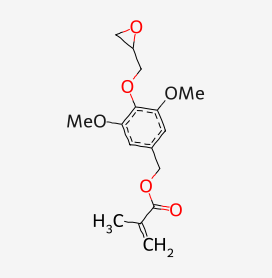 C=C(C)C(=O)OCc1cc(OC)c(OCC2CO2)c(OC)c1